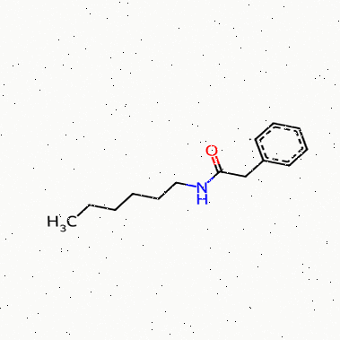 CCCCCCNC(=O)Cc1[c]cccc1